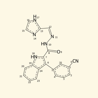 N#Cc1cccc(-c2c(C(=O)N/N=C\c3ncc[nH]3)[nH]c3ccccc23)c1